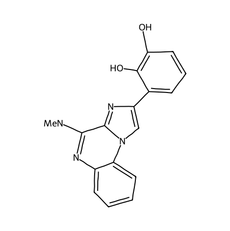 CNc1nc2ccccc2n2cc(-c3cccc(O)c3O)nc12